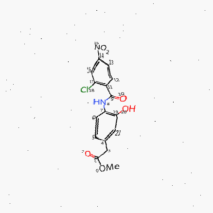 COC(=O)Cc1ccc(NC(=O)c2ccc([N+](=O)[O-])cc2Cl)c(O)c1